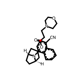 N#Cc1ccc(N2[C@@H]3CC[C@H]2C[C@@H](OC(=O)CCN2CCOCC2)C3)c2ccccc12